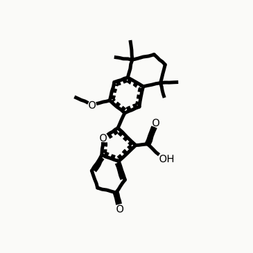 COc1cc2c(cc1-c1oc3c(c1C(=O)O)=CC(=O)CC=3)C(C)(C)CCC2(C)C